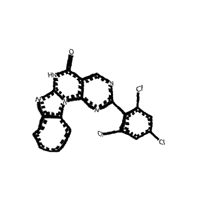 O=c1[nH]c2nc3ccccc3n2c2nc(-c3c(Cl)cc(Cl)cc3Cl)ncc12